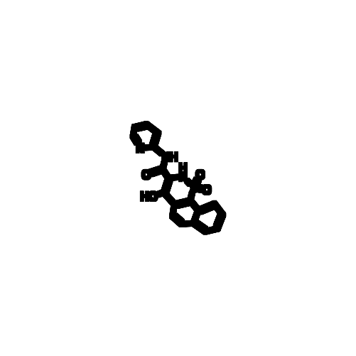 O=C(Nc1ccccn1)C1=C(O)c2ccc3ccccc3c2S(=O)(=O)N1